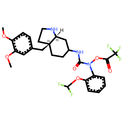 COc1ccc(C[C@@]23CCN[C@H]2CC(NC(=O)N(OC(=O)C(F)(F)F)c2ccccc2OC(F)F)CC3)cc1OC